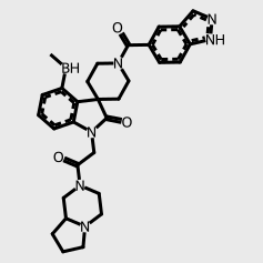 CBc1cccc2c1C1(CCN(C(=O)c3ccc4[nH]ncc4c3)CC1)C(=O)N2CC(=O)N1CCN2CCCC2C1